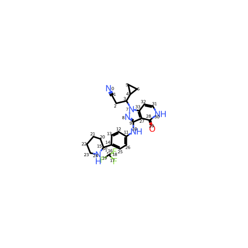 N#CCC(C1CC1)n1nc(Nc2ccc([C@]3(C(F)(F)F)CCCCN3)cc2)c2c(=O)[nH]ccc21